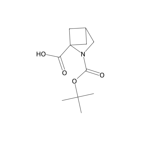 CC(C)(C)OC(=O)N1CC2CC1(C(=O)O)C2